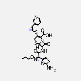 CCCO/N=C(\C(=O)NC1C(=O)N2C(C(=O)O)=C(S/C=C\c3cccnc3)CS[C@H]12)c1csc(N)n1